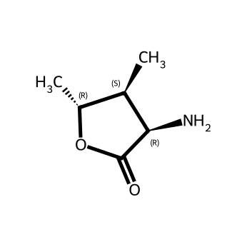 C[C@@H]1[C@@H](C)OC(=O)[C@@H]1N